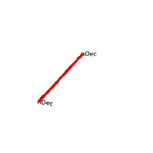 CCCCCCCCCCCCCCCCCCCCCCCCCCCCCCCCCCCCCCCCCCCCCCCCCCCCCCCCCCCCCCCCCCCCCCCCCCCCCCCCCCCCCCCCCCCCCCCCCCCC